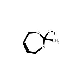 CC1(C)OCC=CCS1